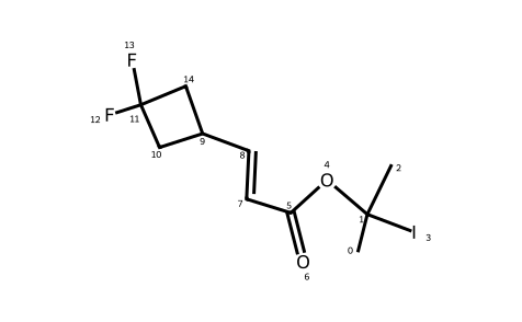 CC(C)(I)OC(=O)/C=C/C1CC(F)(F)C1